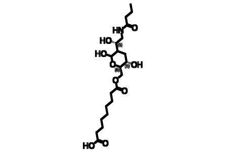 CCCC(=O)NC[C@@H](O)C1C[C@H](O)[C@@H](COC(=O)CCCCCCCC(=O)O)OC1O